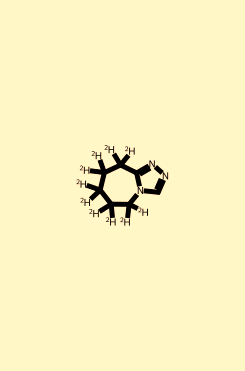 [2H]C1([2H])c2nncn2C([2H])([2H])C([2H])([2H])C([2H])([2H])C1([2H])[2H]